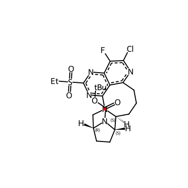 CCS(=O)(=O)c1nc2c3c(nc(Cl)c(F)c3n1)CCC[C@H]1[C@@H]3CC[C@H](CN21)N3C(=O)OC(C)(C)C